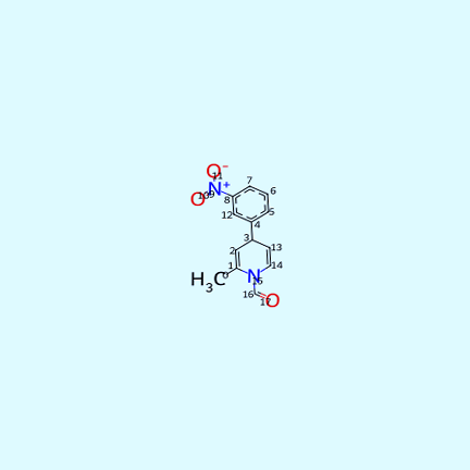 CC1=CC(c2cccc([N+](=O)[O-])c2)C=CN1C=O